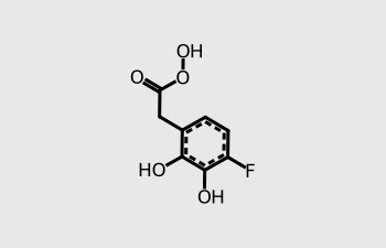 O=C(Cc1ccc(F)c(O)c1O)OO